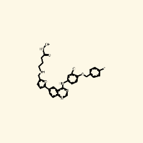 O=C(CCCNCc1ccc(-c2ccc3ncnc(Nc4ccc(OCc5ccc(F)cc5)c(Cl)c4)c3c2)o1)NO